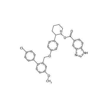 COc1ccc(-c2ccc(Cl)cc2)c(COc2ccc(C3CCCC[SH]3OC(=O)c3ccc4[nH]cnc4c3)cc2)c1